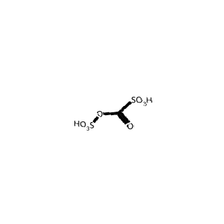 O=C(OS(=O)(=O)O)S(=O)(=O)O